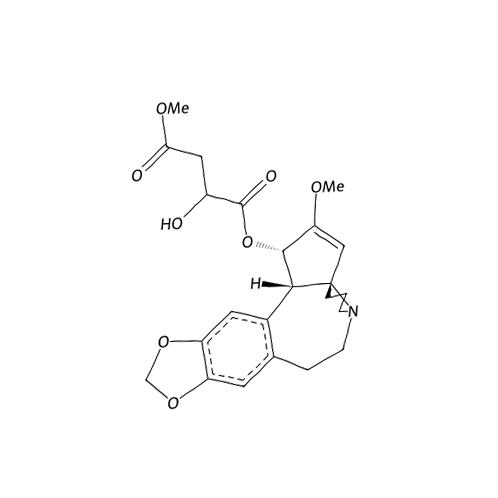 COC(=O)CC(O)C(=O)O[C@@H]1C(OC)=C[C@]23CCCN2CCc2cc4c(cc2[C@H]13)OCO4